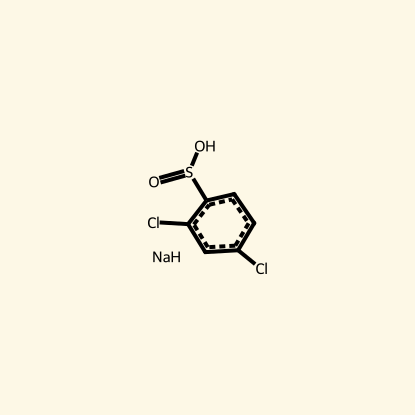 O=S(O)c1ccc(Cl)cc1Cl.[NaH]